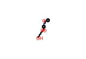 O=C(/C=C/c1ccc(C(=O)OCCCCCCO)cc1)c1ccccc1